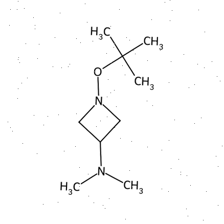 CN(C)C1CN(OC(C)(C)C)C1